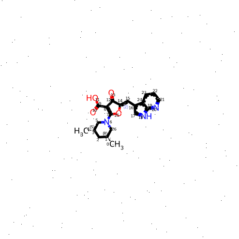 C[C@@H]1C[C@H](C)CN(C2=C(C(=O)O)C(=O)/C(=C/c3c[nH]c4ncccc34)O2)C1